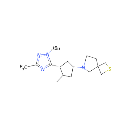 CC1CC(N2CCC3(CSC3)C2)C[C@H]1c1nc(C(F)(F)F)nn1C(C)(C)C